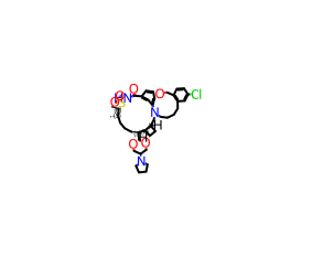 C[C@@H]1[C@@H](C)CCC[C@H]([C@H]2OC[C@H](N3CCCC3)CO2)[C@@H]2CC[C@H]2CN2CCCCc3cc(Cl)ccc3COc3ccc(cc32)C(=O)NS1(=O)=O